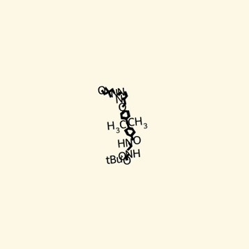 CC(C)(C)OC(=O)NCCNC(=O)c1ccc(C(C)(C)c2ccc(OCc3ccnc(N4CC5(COC5)C4)n3)cc2)cc1